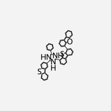 c1ccc(C2NC(c3ccc4sc5ccccc5c4c3)NC(c3cccc4c3sc3c(-c5cccc6c5oc5ccccc56)cccc34)N2)cc1